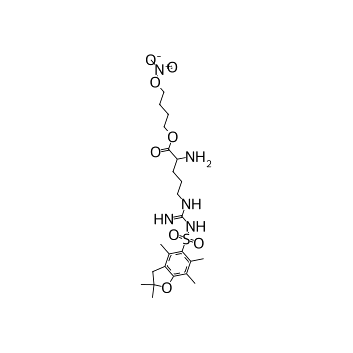 Cc1c(C)c(S(=O)(=O)NC(=N)NCCCC(N)C(=O)OCCCCO[N+](=O)[O-])c(C)c2c1OC(C)(C)C2